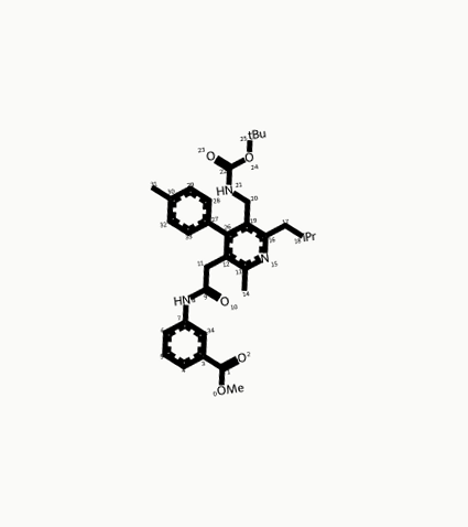 COC(=O)c1cccc(NC(=O)Cc2c(C)nc(CC(C)C)c(CNC(=O)OC(C)(C)C)c2-c2ccc(C)cc2)c1